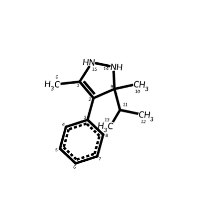 CC1=C(c2ccccc2)C(C)(C(C)C)NN1